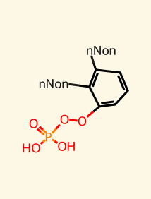 CCCCCCCCCc1cccc(OOP(=O)(O)O)c1CCCCCCCCC